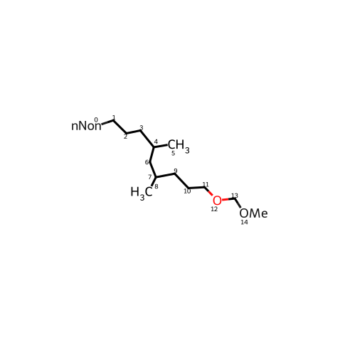 CCCCCCCCCCCCC(C)CC(C)CCCOCOC